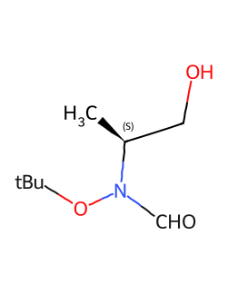 C[C@@H](CO)N(C=O)OC(C)(C)C